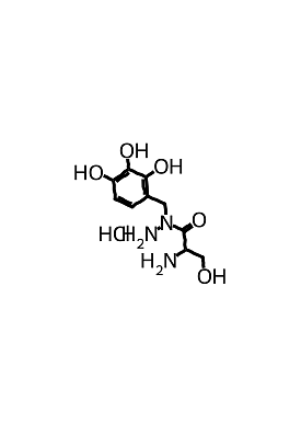 Cl.NC(CO)C(=O)N(N)Cc1ccc(O)c(O)c1O